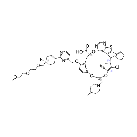 C#C/C1=C(Cl)\C(C)=C(/CC)c2c(C3=CCCC3)sc3ncnc(c23)O[C@@H](C(=O)O)Cc2cc(ccc2OCc2ccnc(C3=CC[C@](F)(COCCOCCOC)CC3)n2)OC[C@@H](CN2CCN(C)CC2)O1